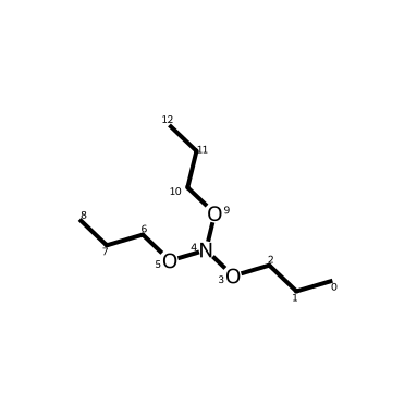 CCCON(OCCC)OCCC